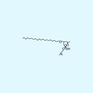 CCCCCCCCCCCCCCCCCCCCOCC(COP(O)OCCN(C)C)CC(C)=O